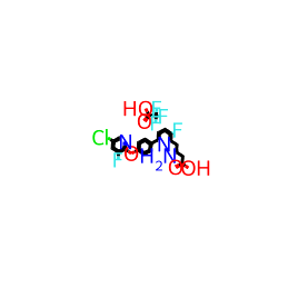 NC(CC(=O)O)Cc1nc(-c2ccc(Oc3ncc(Cl)cc3F)cc2)ccc1F.O=C(O)C(F)(F)F